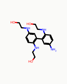 Nc1ccc(NCCO)c(-c2cc(NCCO)ccc2NCCO)c1